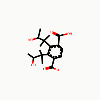 CC(O)C(C)(C)c1c(C(=O)O)ccc(C(=O)O)c1C(C)(C)C(C)O